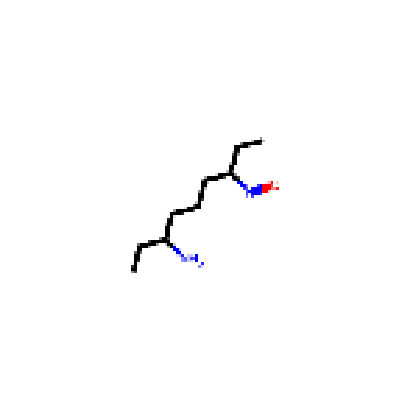 CCC(N)CCCC(CC)N=O